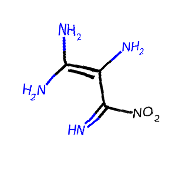 N=C(C(N)=C(N)N)[N+](=O)[O-]